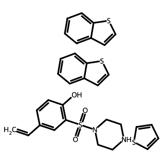 C=Cc1ccc(O)c(S(=O)(=O)N2CCNCC2)c1.c1ccc2sccc2c1.c1ccc2sccc2c1.c1ccsc1